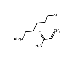 C=CC(N)=O.CCCCCCCCCCCCS